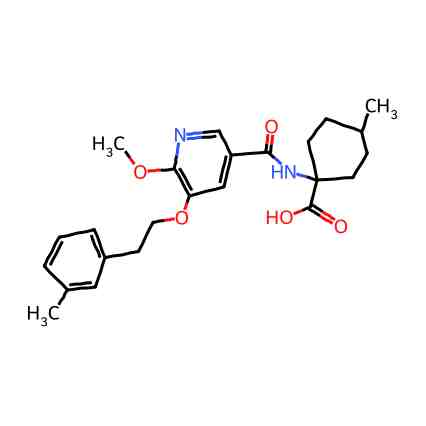 COc1ncc(C(=O)NC2(C(=O)O)CCC(C)CC2)cc1OCCc1cccc(C)c1